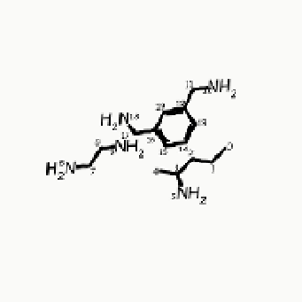 CCCC(C)N.NCCN.NCc1cccc(CN)c1